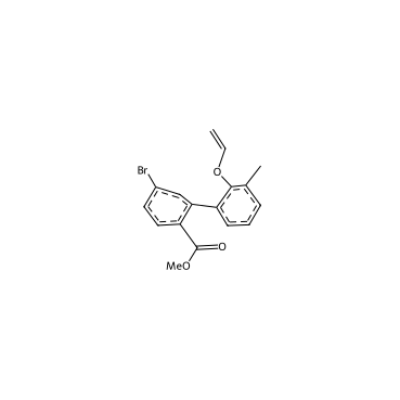 C=COc1c(C)cccc1-c1cc(Br)ccc1C(=O)OC